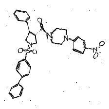 O=C([C@@H]1CN(S(=O)(=O)c2ccc(-c3ccccc3)cc2)C[C@H]1c1ccccc1)N1CCN(c2ccc([N+](=O)[O-])cc2)CC1